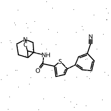 N#Cc1cccc(-c2ccc(C(=O)NC3CN4CCC3CC4)s2)c1